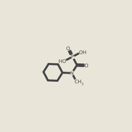 CN(C(=O)P(=O)(O)O)C1CCCCC1